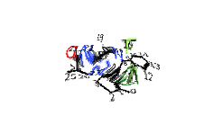 Cc1ccc2c(c1Cl)C(c1c(F)cccc1F)=N[C@@H](C)c1nc(=O)c(C)cn1-2